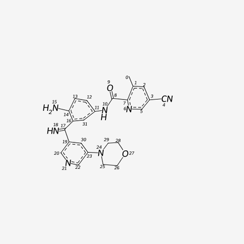 Cc1cc(C#N)cnc1C(=O)Nc1ccc(N)c(C(=N)c2cncc(N3CCOCC3)c2)c1